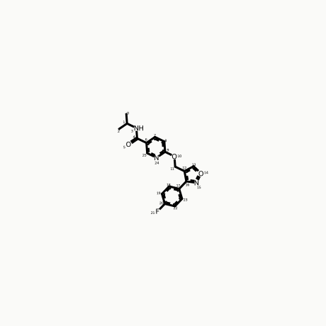 CC(C)NC(=O)c1ccc(OCc2conc2-c2ccc(F)cc2)nc1